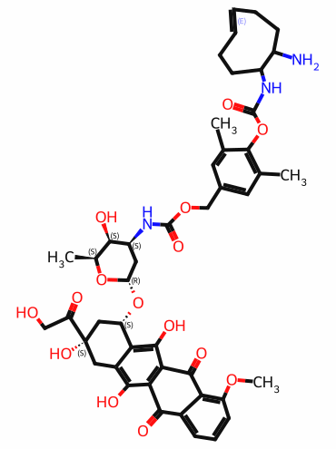 COc1cccc2c1C(=O)c1c(O)c3c(c(O)c1C2=O)C[C@@](O)(C(=O)CO)C[C@@H]3O[C@H]1C[C@H](NC(=O)OCc2cc(C)c(OC(=O)NC3CC/C=C/CCC3N)c(C)c2)[C@H](O)[C@H](C)O1